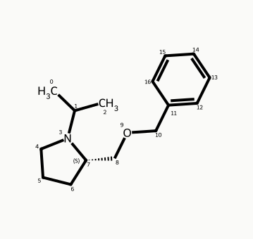 CC(C)N1CCC[C@H]1COCc1ccccc1